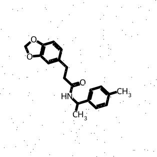 Cc1ccc(C(C)NC(=O)CCc2ccc3c(c2)OCO3)cc1